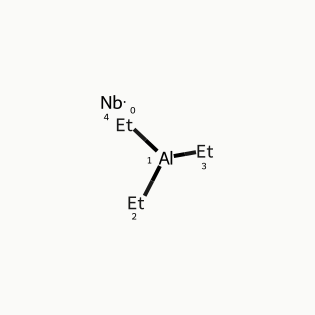 C[CH2][Al]([CH2]C)[CH2]C.[Nb]